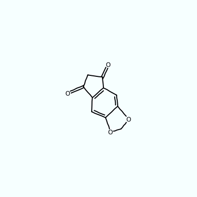 O=C1CC(=O)c2cc3c(cc21)OCO3